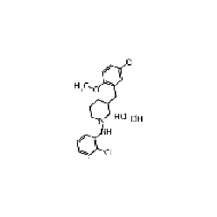 COc1ccc(Cl)cc1CC1CCCN(Nc2ccc[c]c2Cl)C1.Cl.Cl